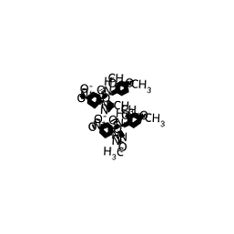 COc1ccc(CNS(=O)(=O)c2cc([N+](=O)[O-])ccc2-n2cc(C)cn2)c(OC)c1.COc1ccc(CNS(=O)(=O)c2cc([N+](=O)[O-])ccc2-n2cnc(OC)n2)c(OC)c1